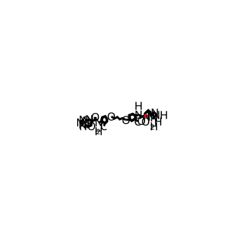 O=C(Nc1ccc(OCCCCOc2ccc(NC(=O)c3ccc4nnnn4n3)c(C(=O)O)c2)cc1C(=O)O)C1=NN2NNN=C2C=C1